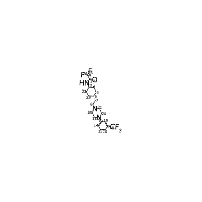 O=C(N[C@H]1CC[C@H](CCN2CCN(c3cccc(C(F)(F)F)c3)CC2)CC1)C(F)F